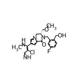 CN/C(=C(/Cl)C=N)c1cc2n(c1)C[C@H](COC)N(Cc1cc(F)ccc1CO)C2=O